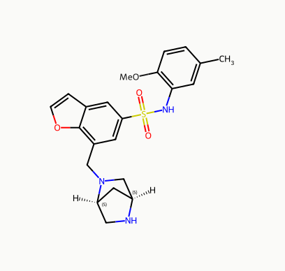 COc1ccc(C)cc1NS(=O)(=O)c1cc(CN2C[C@@H]3C[C@H]2CN3)c2occc2c1